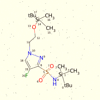 CC(C)(C)[Si](C)(C)NS(=O)(=O)c1nn(CCO[Si](C)(C)C(C)(C)C)cc1F